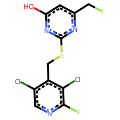 Oc1cc(CF)nc(SCc2c(Cl)cnc(F)c2Cl)n1